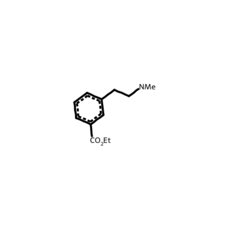 CCOC(=O)c1cccc(CCNC)c1